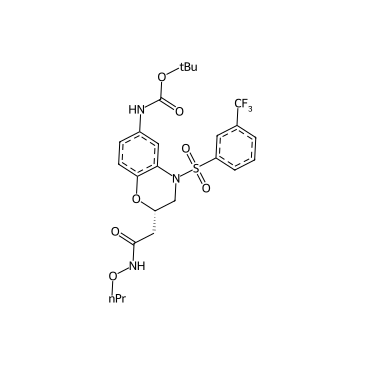 CCCONC(=O)C[C@H]1CN(S(=O)(=O)c2cccc(C(F)(F)F)c2)c2cc(NC(=O)OC(C)(C)C)ccc2O1